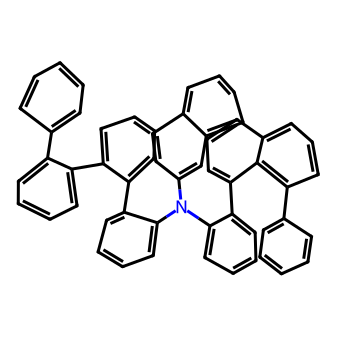 c1ccc(-c2ccccc2-c2ccccc2-c2ccccc2N(c2ccc3ccccc3c2)c2ccccc2-c2cccc3cccc(-c4ccccc4)c23)cc1